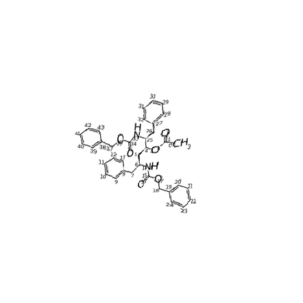 CC(=O)O[C@@H](C[C@H](Cc1ccccc1)NC(=O)OCc1ccccc1)[C@H](Cc1ccccc1)NC(=O)OCc1ccccc1